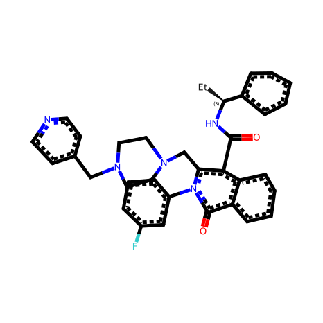 CC[C@H](NC(=O)c1c(CN2CCN(Cc3ccncc3)CC2)n(-c2cccc(F)c2)c(=O)c2ccccc12)c1ccccc1